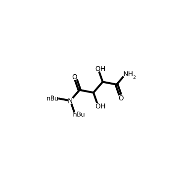 CCCCN(CCCC)C(=O)C(O)C(O)C(N)=O